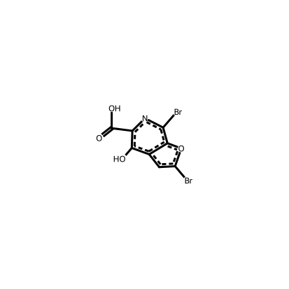 O=C(O)c1nc(Br)c2oc(Br)cc2c1O